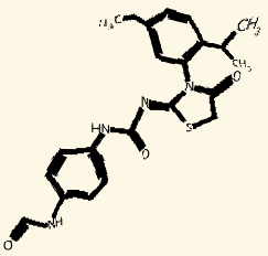 Cc1ccc(C(C)C)c(N2C(=O)CS/C2=N\C(=O)Nc2ccc(NC=O)cc2)c1